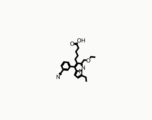 CCOCc1nn2c(CC)ccc2c(-c2cccc(C#N)c2)c1CCCCC(=O)O